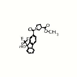 COC(=O)C1CCN(C(=O)c2ccc3c(c2)C(O)(C(F)(F)F)c2ccccc2-3)C1